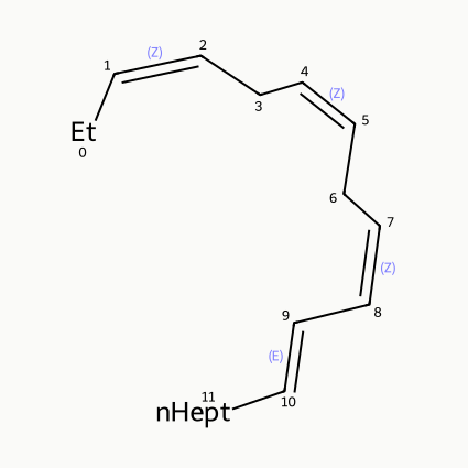 CC/C=C\C/C=C\C/C=C\C=C\CCCCCCC